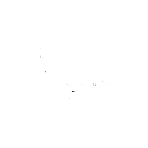 O=C(NOCCN1CCCN(P)CC1)[C@@H]1CC[C@H]2CN1C(=O)N2OP